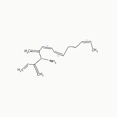 C=CC(=C)C(N)C(=C)/C=C\C=C/CC/C=C\C